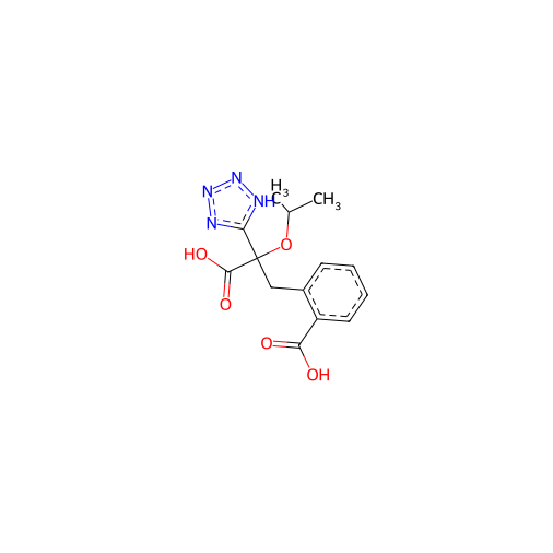 CC(C)OC(Cc1ccccc1C(=O)O)(C(=O)O)c1nnn[nH]1